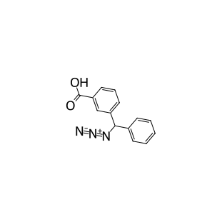 [N-]=[N+]=NC(c1ccccc1)c1cccc(C(=O)O)c1